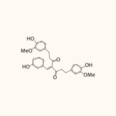 COc1cc(CCC(=O)C(=Cc2cccc(O)c2)C(=O)CCc2ccc(O)c(OC)c2)ccc1O